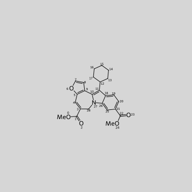 COC(=O)C1=Cc2occc2-c2c(C3CCCCC3)c3ccc(C(=O)OC)cc3n2C1